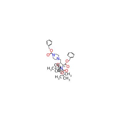 CC(C)(C)OC(=O)N1[C@H](C(=O)OCc2ccccc2)C(CN2CCN(C(=O)OCc3ccccc3)CC2)O[Si]1(C)C(C)(C)C